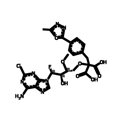 CO[C@H](COC(Cc1ccc(-c2nnc(C)o2)cc1)(C(=O)O)C(=O)O)[C@@H](O)[C@H](F)n1cnc2c(N)nc(Cl)nc21